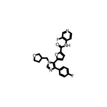 O=C(Nc1ccncc1F)c1ccc(-c2c(-c3ccc(F)cc3)ncn2CC2CCOC2)o1